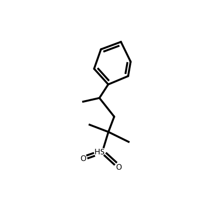 CC(CC(C)(C)[SH](=O)=O)c1ccccc1